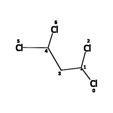 Cl[C](Cl)CC(Cl)Cl